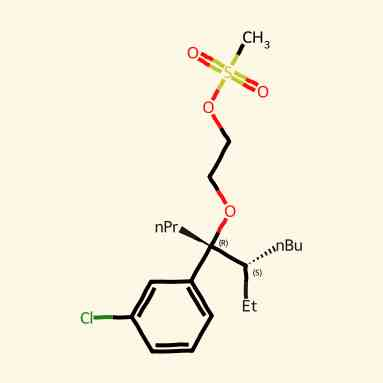 CCCC[C@H](CC)[C@@](CCC)(OCCOS(C)(=O)=O)c1cccc(Cl)c1